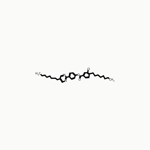 CCCCCCCCc1cnc(-c2ccc(OC(=O)c3ccc(CCCCCCCC)c(Cl)c3)cc2)nc1